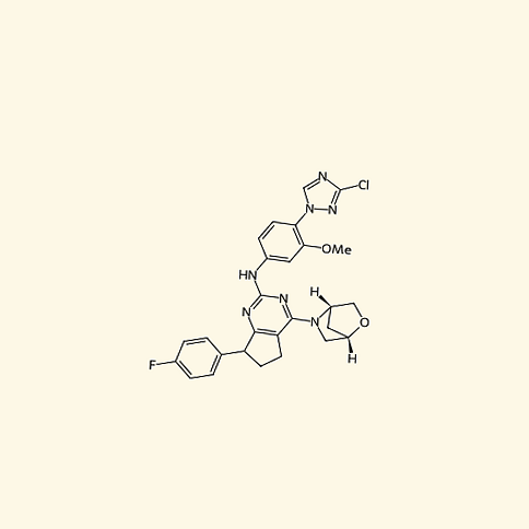 COc1cc(Nc2nc3c(c(N4C[C@@H]5C[C@H]4CO5)n2)CCC3c2ccc(F)cc2)ccc1-n1cnc(Cl)n1